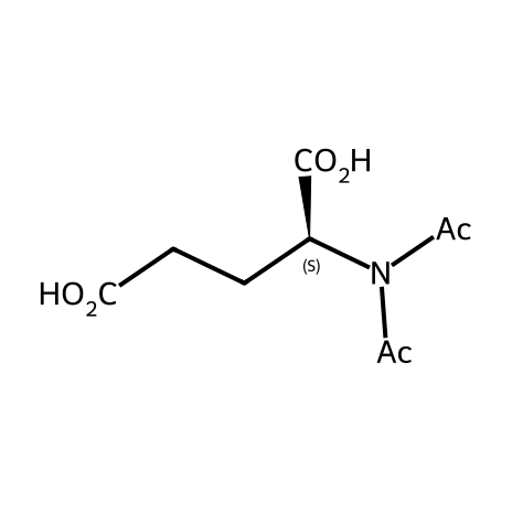 CC(=O)N(C(C)=O)[C@@H](CCC(=O)O)C(=O)O